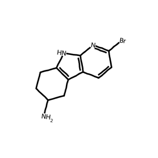 NC1CCc2[nH]c3nc(Br)ccc3c2C1